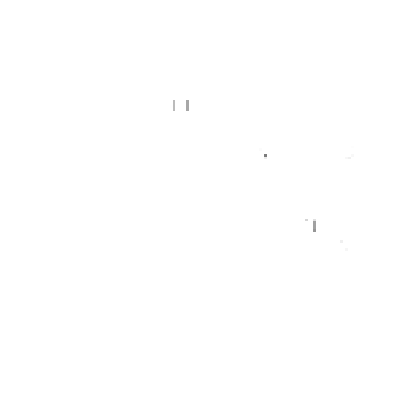 O=C(N1CC(Nc2ccccc2)C1)N1N=CCC1c1ccccc1